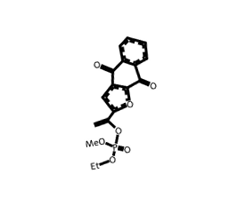 C=C(OP(=O)(OC)OCC)c1cc2c(o1)C(=O)c1ccccc1C2=O